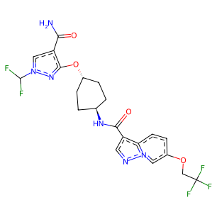 NC(=O)c1cn(C(F)F)nc1O[C@H]1CC[C@H](NC(=O)c2cnn3cc(OCC(F)(F)F)ccc23)CC1